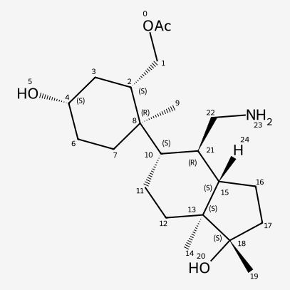 CC(=O)OC[C@H]1C[C@@H](O)CC[C@]1(C)[C@H]1CC[C@@]2(C)[C@@H](CC[C@]2(C)O)[C@@H]1CN